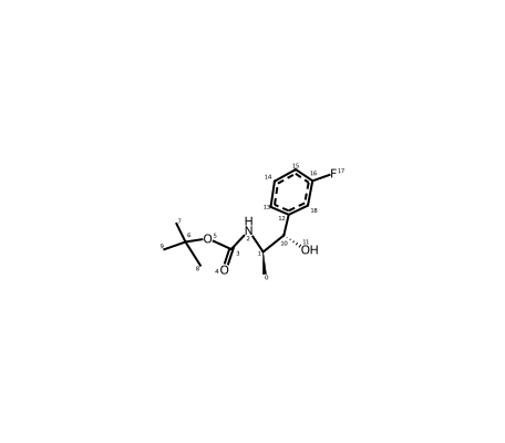 C[C@@H](NC(=O)OC(C)(C)C)[C@@H](O)c1cccc(F)c1